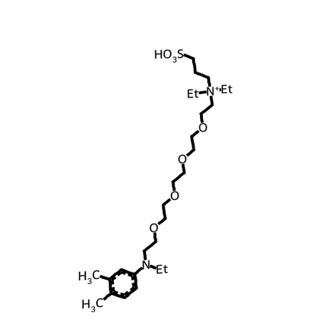 CCN(CCOCCOCCOCCOCC[N+](CC)(CC)CCCS(=O)(=O)O)c1ccc(C)c(C)c1